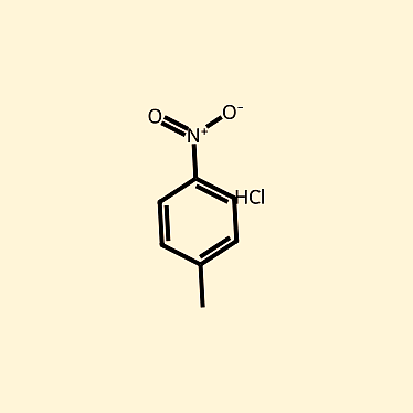 Cc1ccc([N+](=O)[O-])cc1.Cl